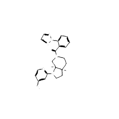 N#Cc1ccnc(N2CC[C@H]3CCN(C(=O)c4ccccc4-n4nccn4)C[C@H]32)c1